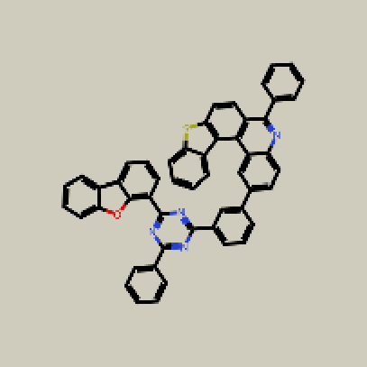 c1ccc(-c2nc(-c3cccc(-c4ccc5nc(-c6ccccc6)c6ccc7sc8ccccc8c7c6c5c4)c3)nc(-c3cccc4c3oc3ccccc34)n2)cc1